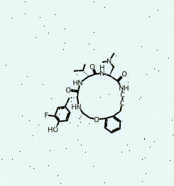 CC(C)[C@H]1NC(=O)[C@@H](Cc2ccc(O)c(F)c2)N[C@@H](C)COc2ccccc2CCCNC(=O)[C@H](CN(C)C)NC1=O